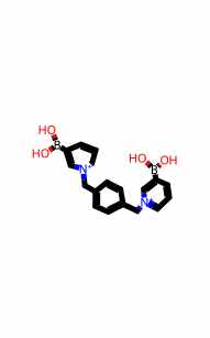 OB(O)c1ccc[n+](Cc2ccc(C[n+]3cccc(B(O)O)c3)cc2)c1